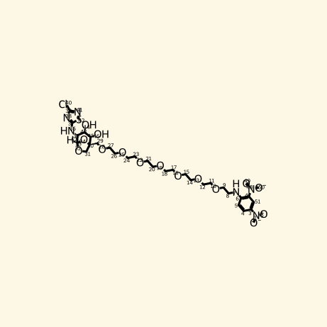 O=[N+]([O-])c1ccc(NCCOCCOCCOCCOCCOCCOCCOC[C@@]23CO[C@@H](O2)[C@H](Nc2nc(Cl)ns2)[C@@H](O)[C@H]3O)c([N+](=O)[O-])c1